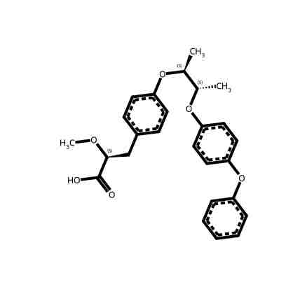 CO[C@@H](Cc1ccc(O[C@@H](C)[C@H](C)Oc2ccc(Oc3ccccc3)cc2)cc1)C(=O)O